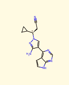 N#CC[C@H](C1CC1)n1cc(-c2ncnc3[nH]ccc23)c(N)n1